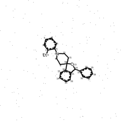 CCc1ccccc1N1CCC2(CC1)OC(c1ccccc1)c1ccccc12